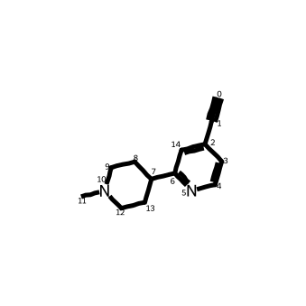 C#Cc1ccnc(C2CCN(C)CC2)c1